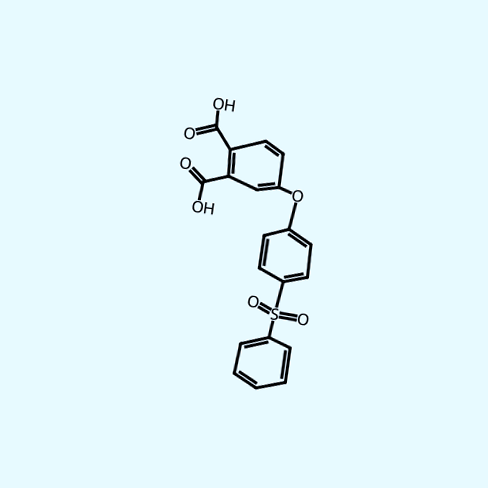 O=C(O)c1ccc(Oc2ccc(S(=O)(=O)c3ccccc3)cc2)cc1C(=O)O